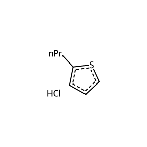 CCCc1cccs1.Cl